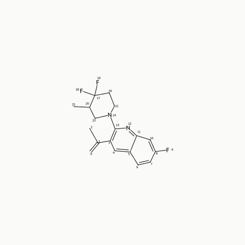 C=C(C)c1cc2ccc(F)cc2nc1N1CCC(F)(F)C(C)C1